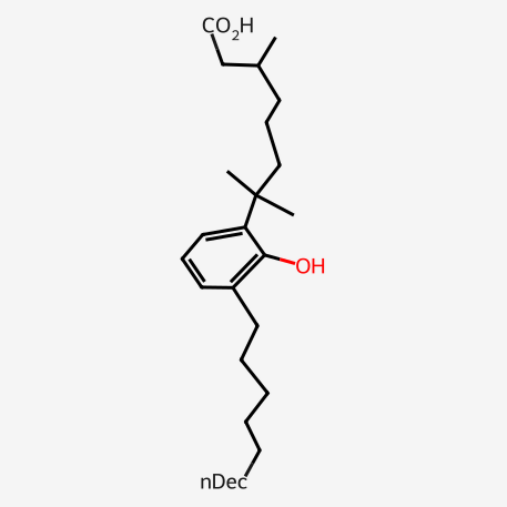 CCCCCCCCCCCCCCCc1cccc(C(C)(C)CCCC(C)CC(=O)O)c1O